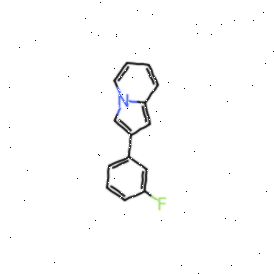 Fc1cccc(-c2cc3ccccn3c2)c1